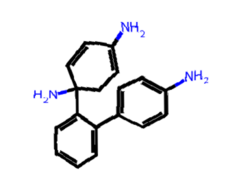 NC1=CCC(N)(c2ccccc2-c2ccc(N)cc2)C=C1